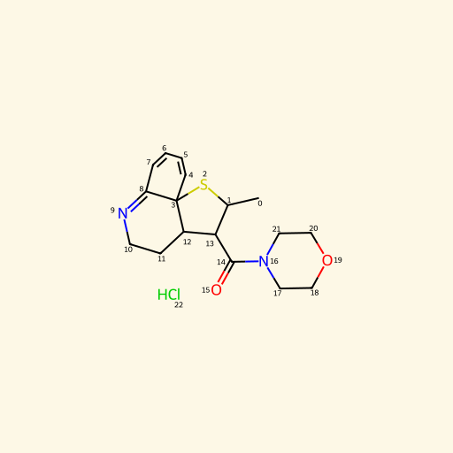 CC1SC23C=CC=CC2=NCCC3C1C(=O)N1CCOCC1.Cl